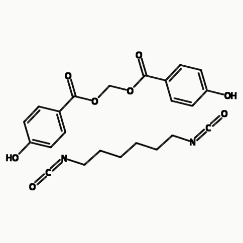 O=C(OCOC(=O)c1ccc(O)cc1)c1ccc(O)cc1.O=C=NCCCCCCN=C=O